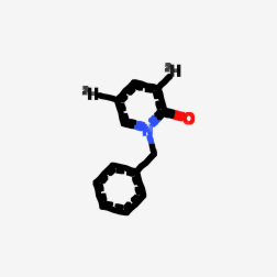 [2H]c1cc([2H])c(=O)n(Cc2ccccc2)c1